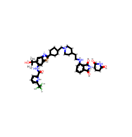 CC(C)(O)c1cc2nc(C3CCC(CN4CCC(CCNc5cccc6c5C(=O)N([C@H]5CCC(=O)NC5=O)C6=O)CC4)CC3)sc2cc1NC(=O)c1cccc(C(F)(F)F)n1